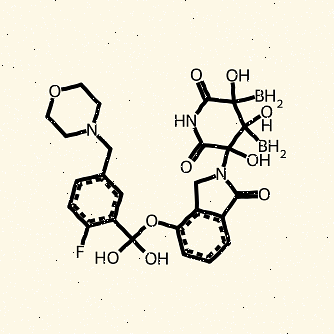 BC1(O)C(=O)NC(=O)C(O)(N2Cc3c(OC(O)(O)c4cc(CN5CCOCC5)ccc4F)cccc3C2=O)C1(B)O